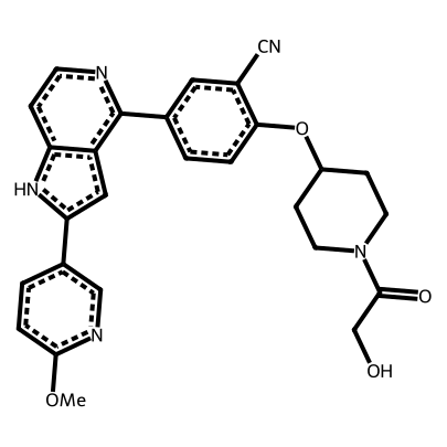 COc1ccc(-c2cc3c(-c4ccc(OC5CCN(C(=O)CO)CC5)c(C#N)c4)nccc3[nH]2)cn1